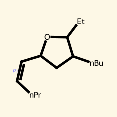 CCC/C=C\C1CC(CCCC)C(CC)O1